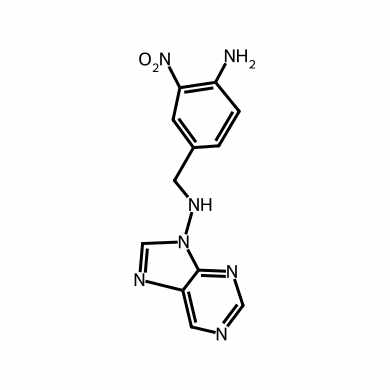 Nc1ccc(CNn2cnc3cncnc32)cc1[N+](=O)[O-]